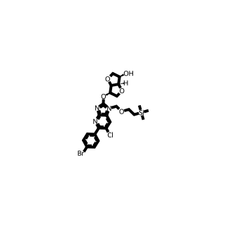 C[Si](C)(C)CCOCn1c(O[C@@H]2CO[C@H]3C2OC[C@H]3O)nc2nc(-c3ccc(Br)cc3)c(Cl)cc21